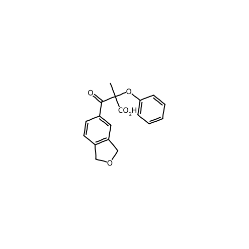 CC(Oc1ccccc1)(C(=O)O)C(=O)c1ccc2c(c1)COC2